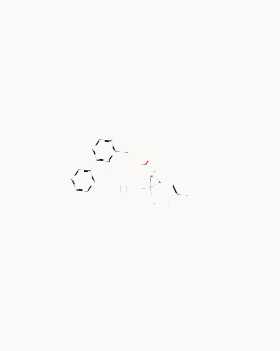 CC(C)=C[C@H]1[C@@H](C(=O)OCc2c(C)ccc(-c3ccccc3)c2C)C1(C)C